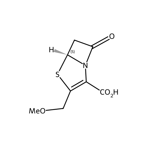 COCC1=C(C(=O)O)N2C(=O)C[C@@H]2S1